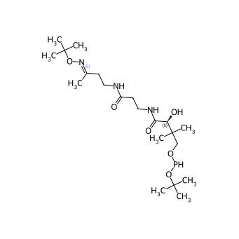 C/C(CCNC(=O)CCNC(=O)[C@@H](O)C(C)(C)COPOC(C)(C)C)=N\OC(C)(C)C